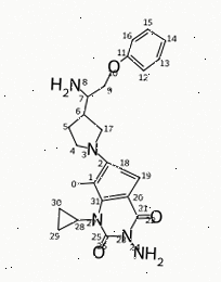 Cc1c(N2CCC(C(N)COc3ccccc3)C2)ccc2c(=O)n(N)c(=O)n(C3CC3)c12